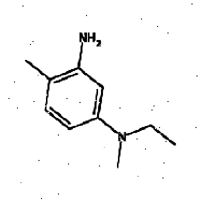 CCN(C)c1ccc(C)c(N)c1